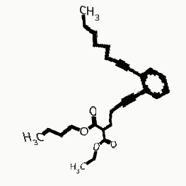 CCCCCCC#Cc1ccccc1C#CCCC(C(=O)OCC)C(=O)OCCCC